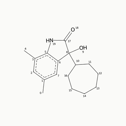 Cc1cc(C)c2c(c1)C(O)(C1CCCCCC1)C(=O)N2